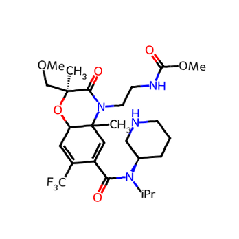 COC[C@]1(C)OC2C=C(C(F)(F)F)C(C(=O)N(C(C)C)[C@@H]3CCCNC3)=CC2(C)N(CCNC(=O)OC)C1=O